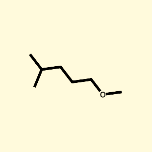 COCCCC(C)C